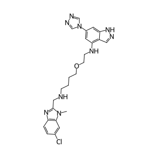 Cn1c(CNCCCCOCCNc2cc(-n3cnnc3)cc3[nH]ncc23)nc2ccc(Cl)cc21